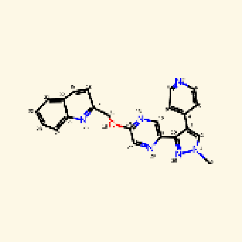 Cn1cc(-c2ccncc2)c(-c2cnc(OCc3ccc4ccccc4n3)cn2)n1